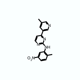 Cc1cncc(-c2ccnc(Nc3cc([N+](=O)[O-])ccc3C)n2)c1